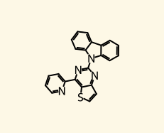 c1ccc(-c2nc(-n3c4ccccc4c4ccccc43)nc3ccsc23)nc1